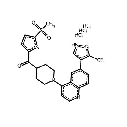 CS(=O)(=O)c1ccc(C(=O)C2CCN(c3ccnc4ccc(-c5c[nH]nc5C(F)(F)F)cc34)CC2)s1.Cl.Cl.Cl